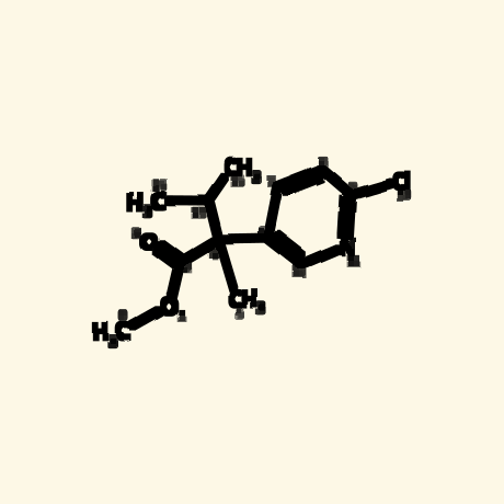 COC(=O)C(C)(c1ccc(Cl)nc1)C(C)C